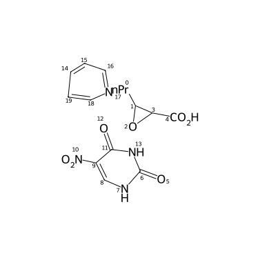 CCCC1OC1C(=O)O.O=c1[nH]cc([N+](=O)[O-])c(=O)[nH]1.c1ccncc1